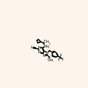 CC(Nc1nc(C#N)nc2nc(CO)n(Cc3ccc(C(F)(F)F)cc3)c12)C1CCC1